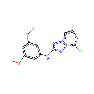 COc1cc(Nc2nc3c(Cl)nccn3n2)cc(OC)c1